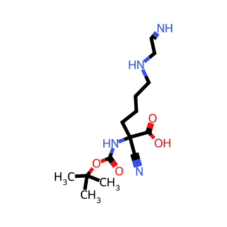 CC(C)(C)OC(=O)NC(C#N)(CCCCNCC=N)C(=O)O